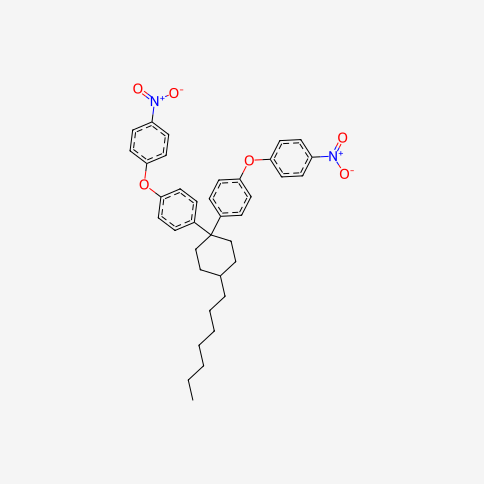 CCCCCCCC1CCC(c2ccc(Oc3ccc([N+](=O)[O-])cc3)cc2)(c2ccc(Oc3ccc([N+](=O)[O-])cc3)cc2)CC1